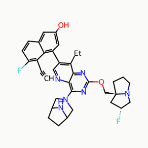 C#Cc1c(F)ccc2cc(O)cc(-c3cnc4c(N5CC6CCC(C5)N6)nc(OC[C@@]56CCCN5C[C@H](F)C6)nc4c3CC)c12